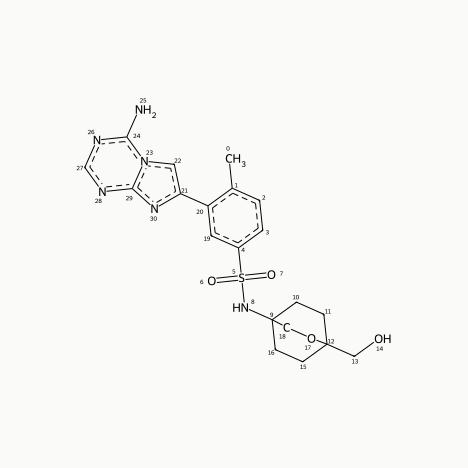 Cc1ccc(S(=O)(=O)NC23CCC(CO)(CC2)OC3)cc1-c1cn2c(N)ncnc2n1